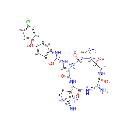 C[C@@H]1NC(=O)[C@@H](N)CNC(=O)[C@H](C2CCNC(=N)N2)NC(=O)/C(=C/NC(=O)Nc2ccc(Oc3ccc(Cl)cc3)cc2)NC(=O)[C@H](CN)NC1=O